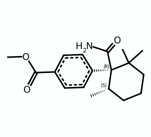 COC(=O)c1ccc([C@@]2(C(N)=O)[C@@H](C)CCCC2(C)C)cc1